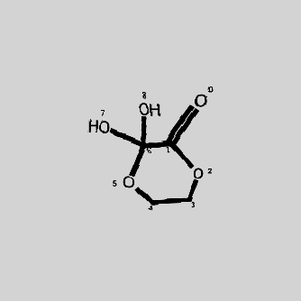 O=C1OCCOC1(O)O